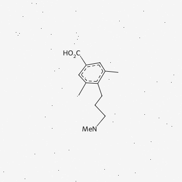 CNCCCc1c(C)cc(C(=O)O)cc1C